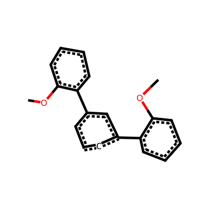 COc1ccccc1-c1c[c]cc(-c2ccccc2OC)c1